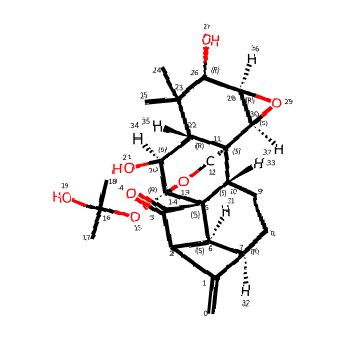 C=C1C2C(=O)[C@]34[C@H]2[C@H]1CC[C@H]3[C@@]12CO[C@]4(OC(C)(C)O)[C@@H](O)[C@@H]1C(C)(C)[C@@H](O)[C@H]1O[C@H]12